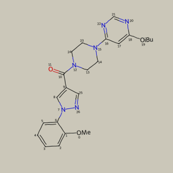 COc1ccccc1-n1cc(C(=O)N2CCN(c3cc(OCC(C)C)ncn3)CC2)cn1